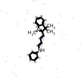 C[N+]1=C(/C=C/C=C/Nc2ccccc2)C(C)(C)c2ccccc21